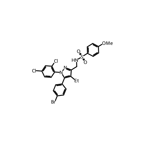 CCc1c(CNS(=O)(=O)c2ccc(OC)cc2)nn(-c2ccc(Cl)cc2Cl)c1-c1ccc(Br)cc1